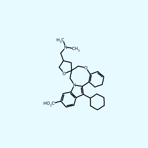 CN(C)CC1COC2(COC3=C(CCC=C3)c3c(C4CCCCC4)c4ccc(C(=O)O)cc4n3C2)C1